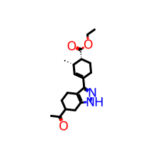 CCOC(=O)[C@@H]1CCC(c2n[nH]c3c2CCC(C(C)=O)C3)=C[C@@H]1C